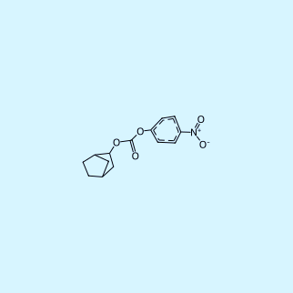 O=C(Oc1ccc([N+](=O)[O-])cc1)OC1CC2CCC1C2